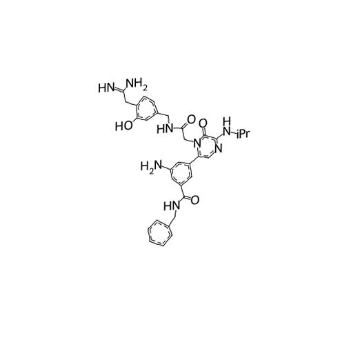 CC(C)Nc1ncc(-c2cc(N)cc(C(=O)NCc3ccccc3)c2)n(CC(=O)NCc2ccc(CC(=N)N)c(O)c2)c1=O